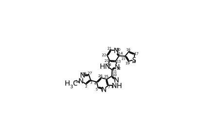 Cn1cc(-c2cnc3[nH]nc(-c4nc5c(-c6ccsc6)nccc5[nH]4)c3c2)cn1